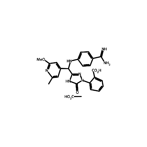 CC(=O)O.COc1cc(C(Nc2ccc(C(=N)N)cc2)c2nn(-c3ccccc3C(=O)O)c(=O)[nH]2)cc(C)n1